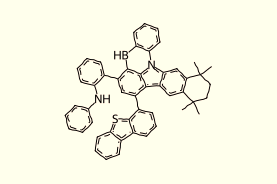 CC1(C)CCC(C)(C)c2cc3c(cc21)c1c(-c2cccc4c2sc2ccccc24)cc(-c2ccccc2Nc2ccccc2)c2c1n3-c1ccccc1B2